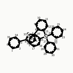 c1ccc(-c2ccc(-c3ccccc3[Si](c3ccccc3)(c3ccccc3)c3ccccc3)s2)cc1